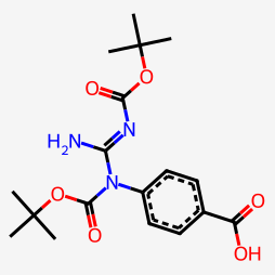 CC(C)(C)OC(=O)N=C(N)N(C(=O)OC(C)(C)C)c1ccc(C(=O)O)cc1